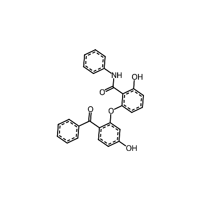 O=C(c1ccccc1)c1ccc(O)cc1Oc1cccc(O)c1C(=O)Nc1ccccc1